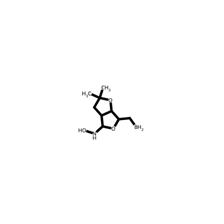 BCC1OC(NO)C2CC(C)(C)OC12